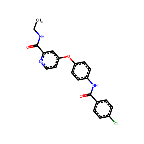 CCNC(=O)c1cc(Oc2ccc(NC(=O)c3ccc(Cl)cc3)cc2)ccn1